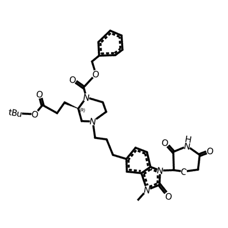 Cn1c(=O)n(C2CCC(=O)NC2=O)c2ccc(CCCN3CCN(C(=O)OCc4ccccc4)[C@H](CCC(=O)OC(C)(C)C)C3)cc21